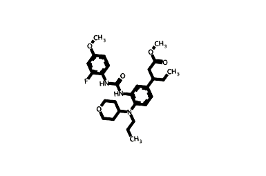 CCCN(c1ccc(C(CC)CC(=O)OC)cc1NC(=O)Nc1ccc(OC)cc1F)C1CCOCC1